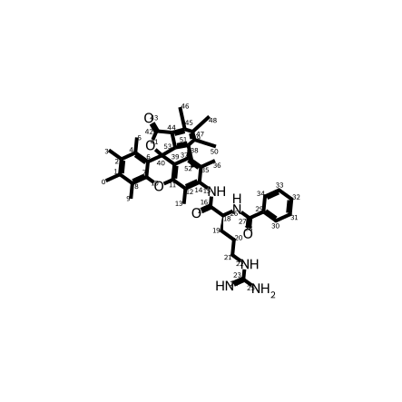 Cc1c(C)c(C)c2c(c1C)Oc1c(C)c(NC(=O)[C@H](CCCNC(=N)N)NC(=O)c3ccccc3)c(C)c(C)c1C21OC(=O)c2c(C)c(C)c(C)c(C)c21